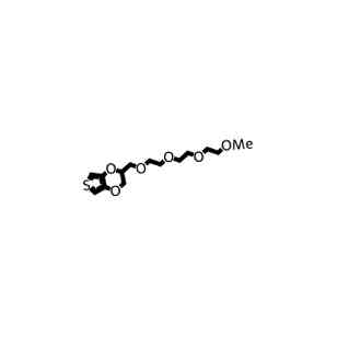 COCCOCCOCCOCC1COc2cscc2O1